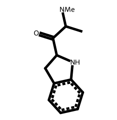 CNC(C)C(=O)C1Cc2ccccc2N1